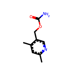 Cc1cc(C)c(COC(N)=O)cn1